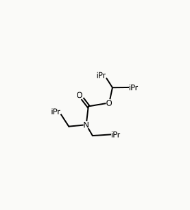 CC(C)CN(CC(C)C)C(=O)OC(C(C)C)C(C)C